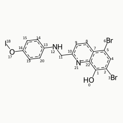 Oc1c(Br)cc(Br)c2ccc(CNc3ccc(OI)cc3)nc12